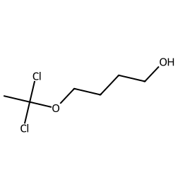 CC(Cl)(Cl)OCCCCO